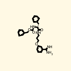 N=C(N)c1cccc(OCCCNC(=O)[C@@H](Cc2ccccc2)NC(=O)OCc2ccccc2)c1